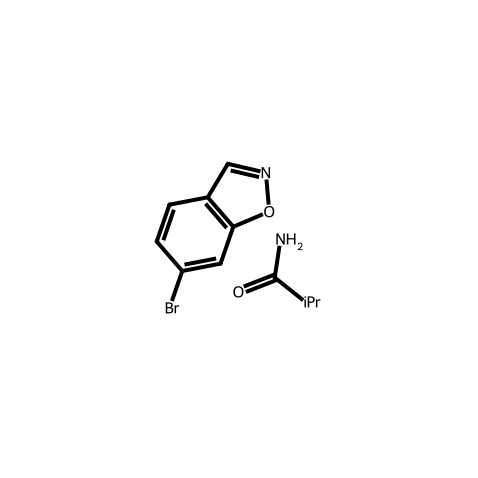 Brc1ccc2cnoc2c1.CC(C)C(N)=O